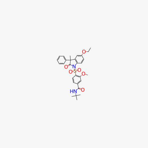 CCOc1ccc2c(c1)C(C)(c1ccccc1)C(=O)N2S(=O)(=O)c1ccc(C(=O)NC(C)(C)C)cc1OC